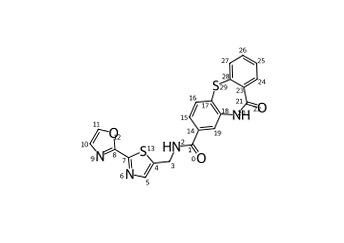 O=C(NCc1cnc(-c2ncco2)s1)c1ccc2c(c1)NC(=O)c1ccccc1S2